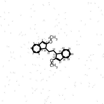 COC1=Cc2ccccc2C1CCC1C(OC)=Cc2ccccc21